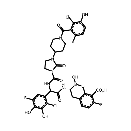 O=C(O)c1c(F)ccc2c1OB(O)[C@@H](NC(=O)C(NC(=O)N1CCN(C3CCN(C(=O)c4c(F)ccc(O)c4Cl)CC3)C1=O)c1cc(F)c(O)c(O)c1Cl)C2